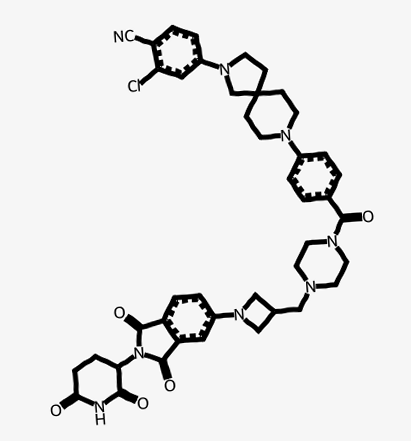 N#Cc1ccc(N2CCC3(CCN(c4ccc(C(=O)N5CCN(CC6CN(c7ccc8c(c7)C(=O)N(C7CCC(=O)NC7=O)C8=O)C6)CC5)cc4)CC3)C2)cc1Cl